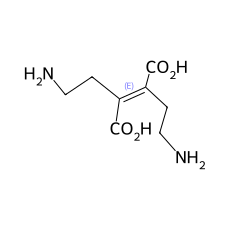 NCC/C(C(=O)O)=C(/CCN)C(=O)O